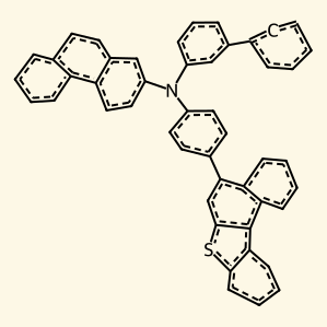 c1ccc(-c2cccc(N(c3ccc(-c4cc5sc6ccccc6c5c5ccccc45)cc3)c3ccc4c(ccc5ccccc54)c3)c2)cc1